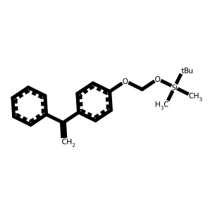 C=C(c1ccccc1)c1ccc(OCO[Si](C)(C)C(C)(C)C)cc1